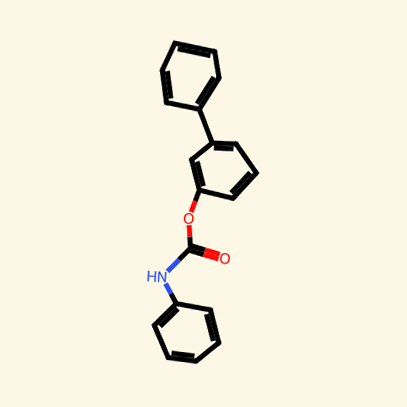 O=C(Nc1ccccc1)Oc1cccc(-c2ccccc2)c1